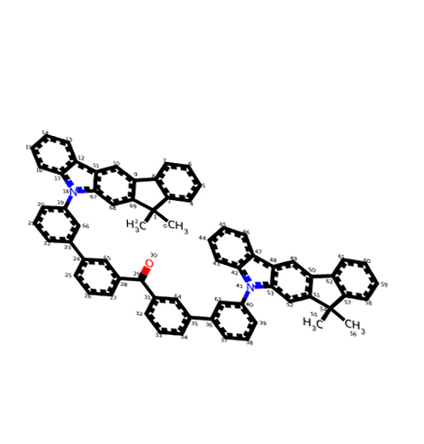 CC1(C)c2ccccc2-c2cc3c4ccccc4n(-c4cccc(-c5cccc(C(=O)c6cccc(-c7cccc(-n8c9ccccc9c9cc%10c(cc98)C(C)(C)c8ccccc8-%10)c7)c6)c5)c4)c3cc21